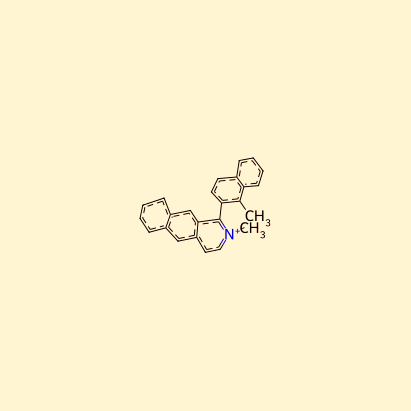 Cc1c(-c2c3cc4ccccc4cc3cc[n+]2C)ccc2ccccc12